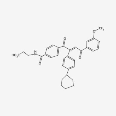 O=C(O)CCNC(=O)c1ccc(C(=O)C(=CC(=O)c2cccc(OC(F)(F)F)c2)c2ccc(C3CCCCC3)cc2)cc1